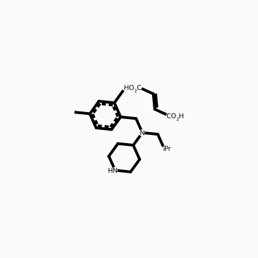 Cc1ccc(CN(CC(C)C)C2CCNCC2)c(C)c1.O=C(O)C=CC(=O)O